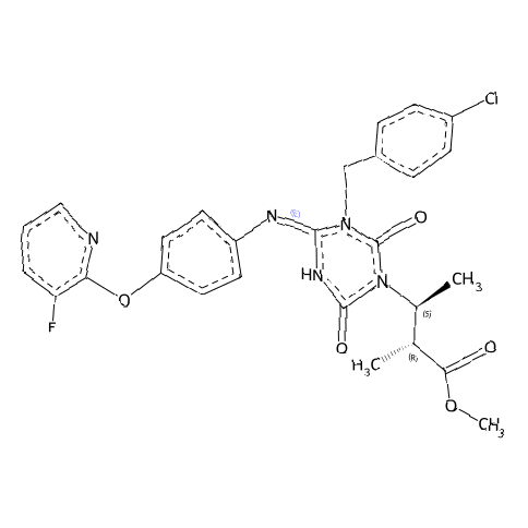 COC(=O)[C@H](C)[C@H](C)n1c(=O)[nH]/c(=N\c2ccc(Oc3ncccc3F)cc2)n(Cc2ccc(Cl)cc2)c1=O